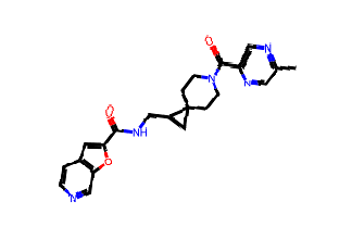 Cc1cnc(C(=O)N2CCC3(CC2)CC3CNC(=O)c2cc3ccncc3o2)cn1